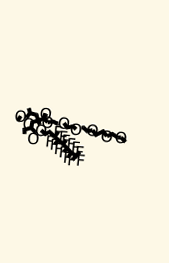 CCC(CC(C)(CC(C)C(=O)OC)C(=O)OCCOCCOCCOCCOCCOC)C(=O)OCCC(F)(F)C(F)(F)C(F)(F)C(F)(F)C(F)(F)C(F)(F)F